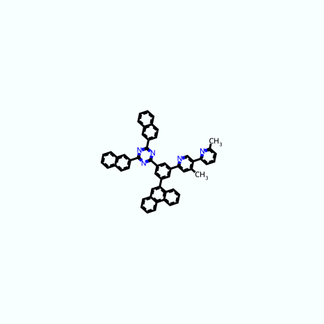 Cc1cccc(-c2cnc(-c3cc(-c4nc(-c5ccc6ccccc6c5)nc(-c5ccc6ccccc6c5)n4)cc(-c4cc5ccccc5c5ccccc45)c3)cc2C)n1